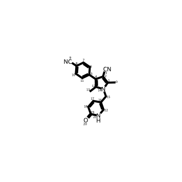 Cc1c(C#N)c(-c2ccc(C#N)cc2)c(C)n1Cc1ccc(=O)[nH]c1